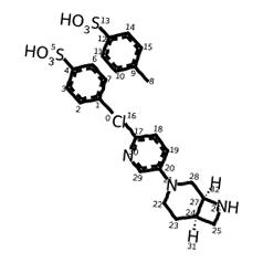 Cc1ccc(S(=O)(=O)O)cc1.Cc1ccc(S(=O)(=O)O)cc1.Clc1ccc(N2CC[C@@H]3CN[C@@H]3C2)cn1